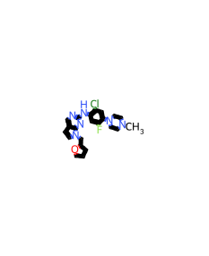 CN1CCN(c2cc(Cl)c(Nc3ncc4ccn(CC5CCCO5)c4n3)cc2F)CC1